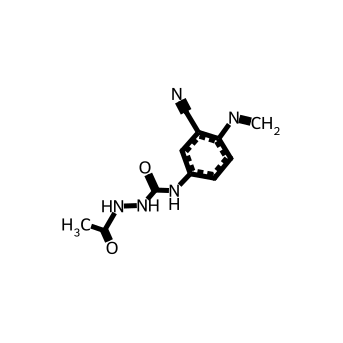 C=Nc1ccc(NC(=O)NNC(C)=O)cc1C#N